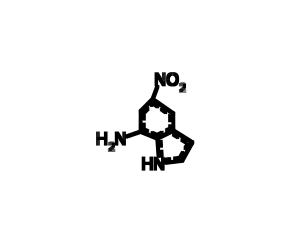 Nc1cc([N+](=O)[O-])cc2cc[nH]c12